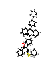 c1ccc(-c2ccc(-c3c4ccccc4c(-c4ccc5c(c4)oc4c6ccccc6c6sc7ccccc7c6c54)c4ccccc34)cc2)cc1